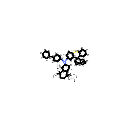 CC1(C)CCC(C)(C)c2cc(N(c3ccc(-c4ccccc4)cc3)c3ccc4c(c3)C3(c5ccccc5S4)C4CC5CC(C4)C3C5)ccc21